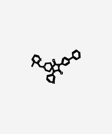 Cc1cccnc1CN1CCC2(CC1)C(=O)N(c1ccc(-c3ccccc3)cc1)C(=O)N2c1cccnc1